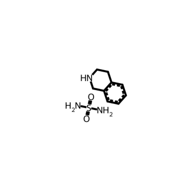 NS(N)(=O)=O.c1ccc2c(c1)CCNC2